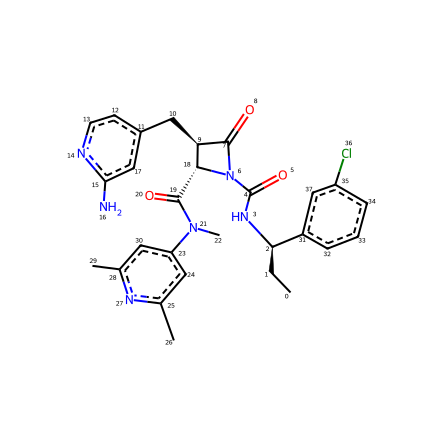 CC[C@@H](NC(=O)N1C(=O)[C@H](Cc2ccnc(N)c2)[C@H]1C(=O)N(C)c1cc(C)nc(C)c1)c1cccc(Cl)c1